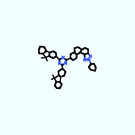 CC1(C)c2ccccc2-c2ccc(-c3nc(-c4ccc5c(c4)C(C)(C)c4ccccc4-5)nc(-c4ccc5c(ccc6ccc7nn(-c8ccccc8)nc7c65)c4)n3)cc21